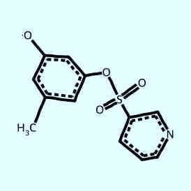 Cc1cc([O])cc(OS(=O)(=O)c2cccnc2)c1